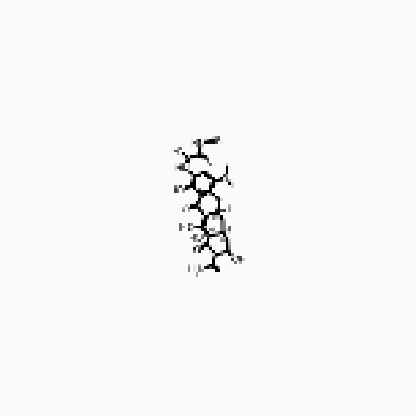 CC(C)C(Nc1cc(N(C)C)c2c(c1O)C(=O)C1=C(O)[C@]3(O)C(=O)C(C(N)=O)C(O)C[C@@H]3C[C@@H]1C2)C(=O)NC(C)(C)C